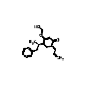 C=CCC1CC([C@@H](C)Cc2ccccc2)C(OCO)=CC1=O